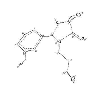 O=C1SC(c2cccc(F)c2)N(CCCCl)C1=O